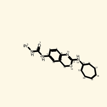 CC(C)NC(=O)Nc1ccc2c(c1)COC(NC1CCCCCC1)=N2